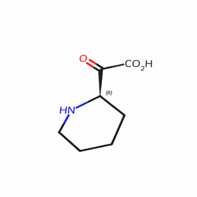 O=C(O)C(=O)[C@H]1CCCCN1